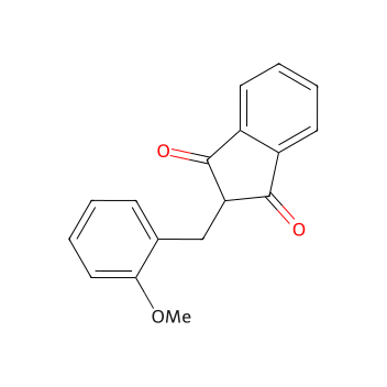 COc1ccccc1CC1C(=O)c2ccccc2C1=O